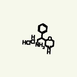 Cl.Cl.NCC(c1ccccc1)C1CNCCO1